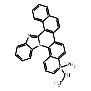 PPP1(P)=CC=Cc2c1ccc1c3ccc4ccccc4c3c3nc4ccccc4n3c21